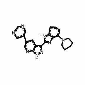 c1cc(N2CCCCC2)c2nc(-c3n[nH]c4ncc(-c5cncnc5)cc34)[nH]c2c1